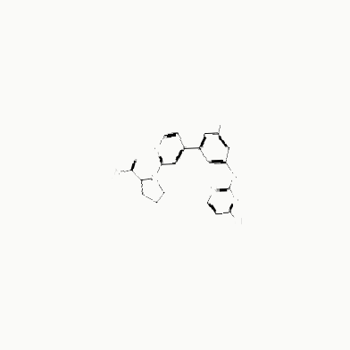 Cc1cc(Nc2nccc(C(F)(F)F)n2)cc(-c2ccnc(N3CCCC3C(N)=O)c2)c1